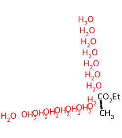 CCOC(C)=O.O.O.O.O.O.O.O.O.O.O.O.O.O.O.O